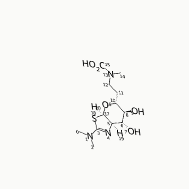 CN(C)C1=N[C@@H]2[C@@H](O)[C@H](O)[C@@H](CCN(C)C(=O)O)O[C@@H]2S1